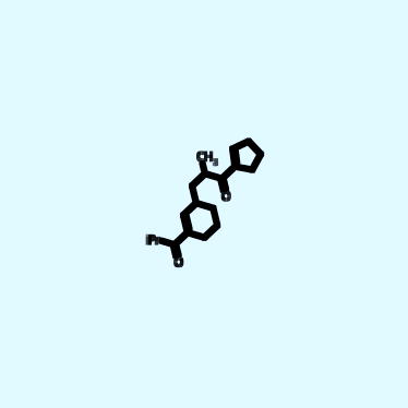 CC(C)C(=O)C1=CC(CC(C)C(=O)C2=CCCC2)CCC1